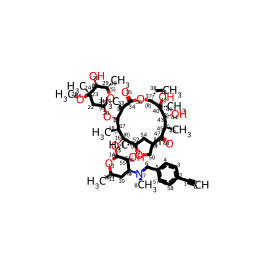 C#Cc1ccc(CN(C)[C@H]2C[C@@H](C)O[C@@H](O[C@@H]3[C@@H](C)[C@H](O[C@H]4C[C@@](C)(OC)[C@@H](O)[C@H](C)O4)[C@@H](C)C(=O)O[C@H](CC)[C@@](C)(O)[C@H](O)[C@@H](C)C(=O)[C@@H]4CO[C@]3(C)C4)[C@H]2O)cc1